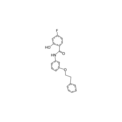 O=C(Nc1cccc(OCCc2ccccc2)c1)c1ccc(F)cc1O